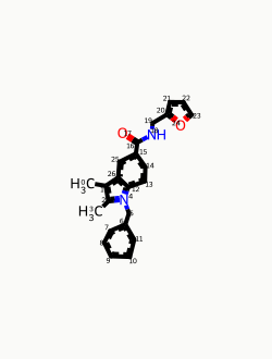 Cc1c(C)n(Cc2ccccc2)c2ccc(C(=O)NCc3ccco3)cc12